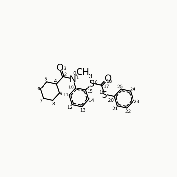 CN(C(=O)C1CCCCC1)c1ccccc1SC(=O)Sc1ccccc1